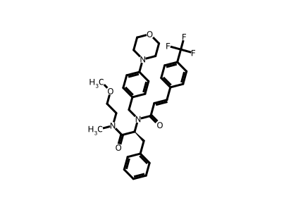 COCCN(C)C(=O)[C@H](Cc1ccccc1)N(Cc1ccc(N2CCOCC2)cc1)C(=O)/C=C/c1ccc(C(F)(F)F)cc1